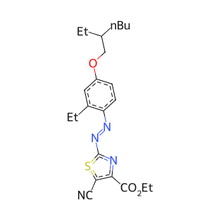 CCCCC(CC)COc1ccc(N=Nc2nc(C(=O)OCC)c(C#N)s2)c(CC)c1